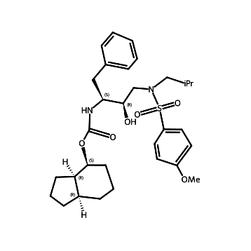 COc1ccc(S(=O)(=O)N(CC(C)C)C[C@@H](O)[C@H](Cc2ccccc2)NC(=O)O[C@H]2CCC[C@H]3CCC[C@H]32)cc1